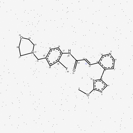 COc1ncc(-c2ccncc2/C=C/C(=O)Nc2ccc(CN3CCOCC3)cc2F)s1